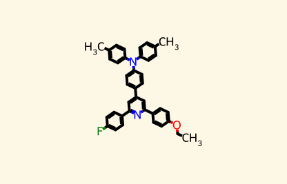 CCOc1ccc(-c2cc(-c3ccc(N(c4ccc(C)cc4)c4ccc(C)cc4)cc3)cc(-c3ccc(F)cc3)n2)cc1